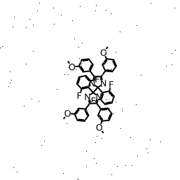 COc1cccc(C2=NC(c3c(F)cccc3F)(C3(c4c(F)cccc4F)N=C(c4cccc(OC)c4)C(c4cccc(OC)c4)=N3)N=C2c2cccc(OC)c2)c1